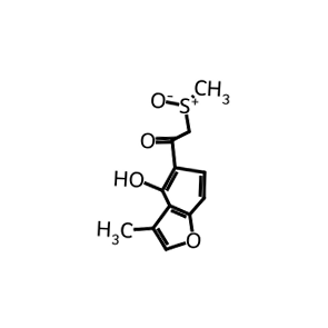 Cc1coc2ccc(C(=O)C[S+](C)[O-])c(O)c12